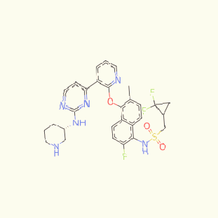 Cc1ccc2c(NS(=O)(=O)CC3CC3(F)F)c(F)ccc2c1Oc1ncccc1-c1ccnc(N[C@H]2CCCNC2)n1